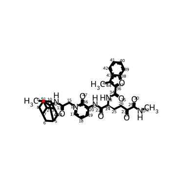 CCC1C2CC3CC1CC(C2)C3NC(=O)Cn1cccc(NC(=O)[C@H](CCC(=O)C(=O)NC)NC(=O)c2oc3ccccc3c2C)c1=O